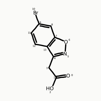 O=C(O)Cc1noc2cc(Br)ccc12